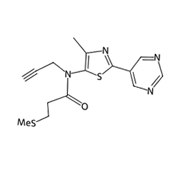 C#CCN(C(=O)CCSC)c1sc(-c2cncnc2)nc1C